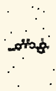 CC[C@H](NC(=O)c1ccc(OC)nc1)[C@H]1CC[C@H](c2ccnc3c(F)cc(F)cc32)CC1